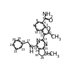 Cc1oc2c(C(N)=O)cccc2c1-c1nc(NCc2ccccc2)c2c(n1)N(C)CC2